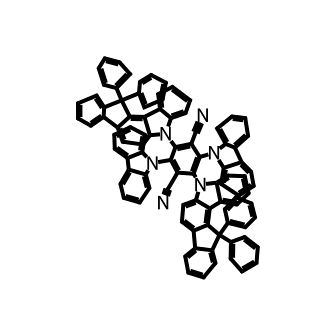 N#Cc1c(-n2c3ccccc3c3ccccc32)c(-n2c3ccccc3c3c4c(ccc32)-c2ccccc2C4(c2ccccc2)c2ccccc2)c(C#N)c(-n2c3ccccc3c3ccccc32)c1-n1c2ccccc2c2c3c(ccc21)-c1ccccc1C3(c1ccccc1)c1ccccc1